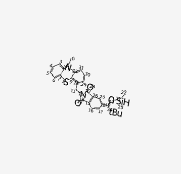 CN1c2ccccc2Sc2c(CN3C(=O)c4ccc(C(O[SiH](C)C)C(C)(C)C)cc4C3=O)cccc21